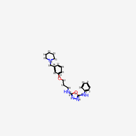 c1ccc(Nc2nnc(NCCCOc3cccc(CN4CCCCC4)c3)o2)cc1